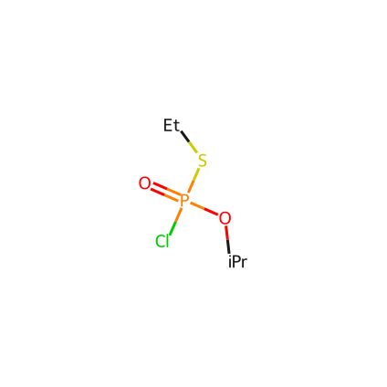 CCSP(=O)(Cl)OC(C)C